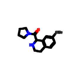 COc1ccc2c(c1)C(C(=O)N1CCCC1)NCC2